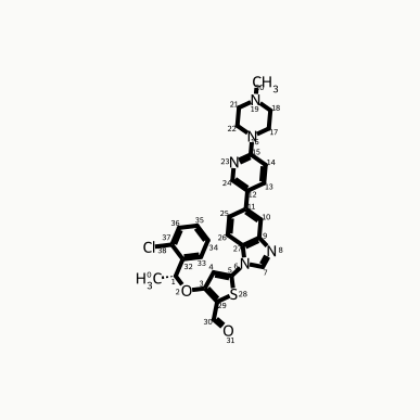 C[C@@H](Oc1cc(-n2cnc3cc(-c4ccc(N5CCN(C)CC5)nc4)ccc32)sc1C=O)c1ccccc1Cl